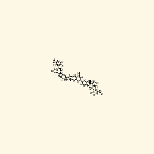 COC(=O)NC(C(=O)N1CCCC1c1nc2ccc(-c3nc4cc5c(cc4[nH]3)CC(c3ccc4nc(C6CCCN6C(=O)C(NC(=O)OC)C(C)C)[nH]c4c3)CN5)cc2[nH]1)C(C)C